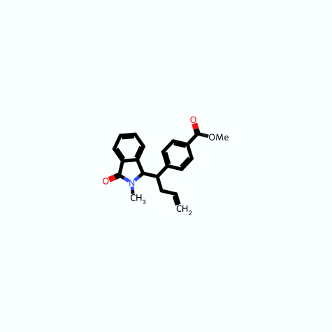 C=CCC(c1ccc(C(=O)OC)cc1)C1c2ccccc2C(=O)N1C